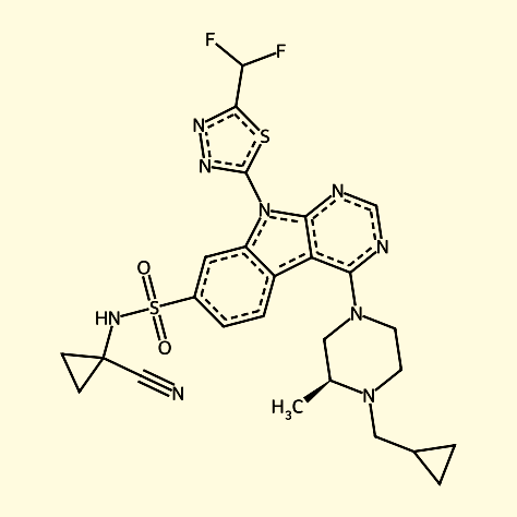 C[C@H]1CN(c2ncnc3c2c2ccc(S(=O)(=O)NC4(C#N)CC4)cc2n3-c2nnc(C(F)F)s2)CCN1CC1CC1